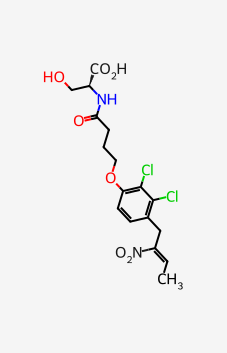 C/C=C(/Cc1ccc(OCCCC(=O)N[C@@H](CO)C(=O)O)c(Cl)c1Cl)[N+](=O)[O-]